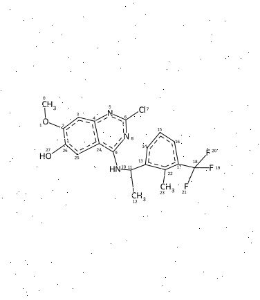 COc1cc2nc(Cl)nc(NC(C)c3cccc(C(F)(F)F)c3C)c2cc1O